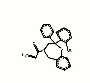 C=CC(=O)N1Cc2ccccc2SC(c2ccccc2)(c2ccccc2C(F)(F)F)C1